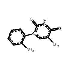 Cc1cn(-c2ccccc2N)c(=O)[nH]c1=O